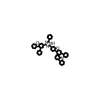 c1ccc(C2=NC(c3cc(-c4ccccc4)c4c(c3)oc3ccccc34)=NC(c3ccc4c(c3)oc3cc(-c5ccccc5-n5c6ccccc6c6ccccc65)ccc34)N2)cc1